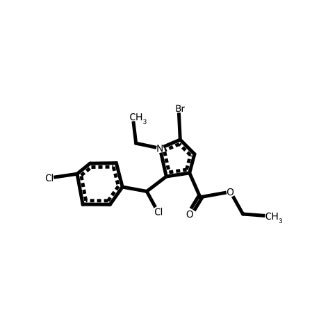 CCOC(=O)c1cc(Br)n(CC)c1C(Cl)c1ccc(Cl)cc1